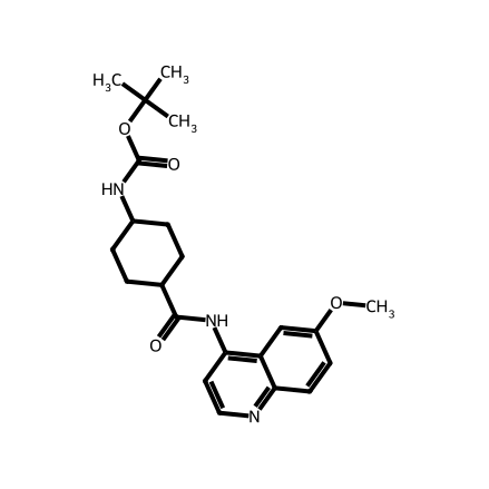 COc1ccc2nccc(NC(=O)C3CCC(NC(=O)OC(C)(C)C)CC3)c2c1